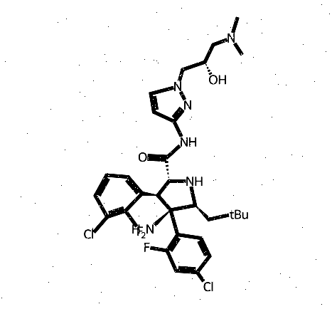 CN(C)C[C@H](O)Cn1ccc(NC(=O)[C@@H]2N[C@@H](CC(C)(C)C)[C@](N)(c3ccc(Cl)cc3F)[C@H]2c2cccc(Cl)c2F)n1